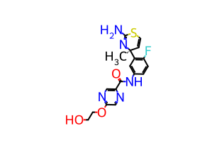 C[C@@]1(c2cc(NC(=O)c3cnc(OCCO)cn3)ccc2F)C=CSC(N)=N1